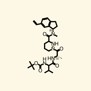 C=Cc1ccc2c(c1)[C@H](N(C)C(=O)C1CCCN(C(=O)[C@H](C)NC(=O)C(NC(=O)OC(C)(C)C)C(C)C)N1)CC2